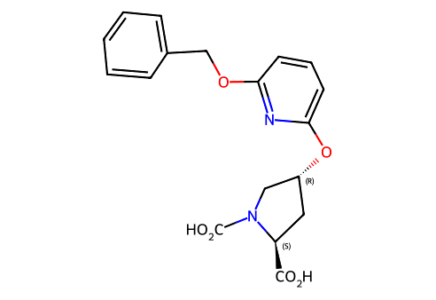 O=C(O)[C@@H]1C[C@@H](Oc2cccc(OCc3ccccc3)n2)CN1C(=O)O